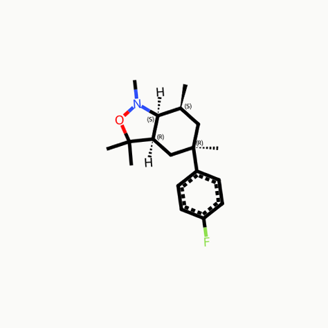 C[C@H]1C[C@@](C)(c2ccc(F)cc2)C[C@@H]2[C@H]1N(C)OC2(C)C